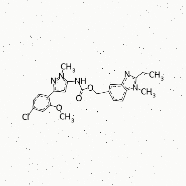 CCc1nc2cc(COC(=O)Nc3cc(-c4ccc(Cl)cc4OC)nn3C)ccc2n1C